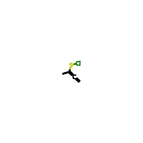 C=C=C(C)SCl